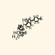 CCC(O)(c1cn(Cc2cccc3c(-c4ccc(F)cc4)c[nH]c23)nn1)C(F)(F)F